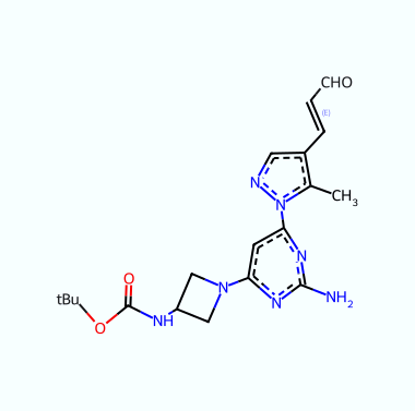 Cc1c(/C=C/C=O)cnn1-c1cc(N2CC(NC(=O)OC(C)(C)C)C2)nc(N)n1